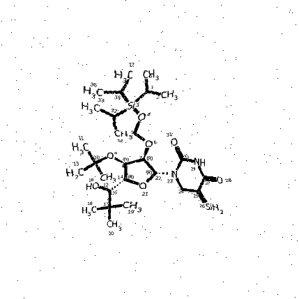 CC(C)[Si](OCO[C@@H]1[C@H](OC(C)(C)C)[C@@H](C(O)C(C)(C)C)O[C@H]1N1CC(=[SiH2])C(=O)NC1=O)(C(C)C)C(C)C